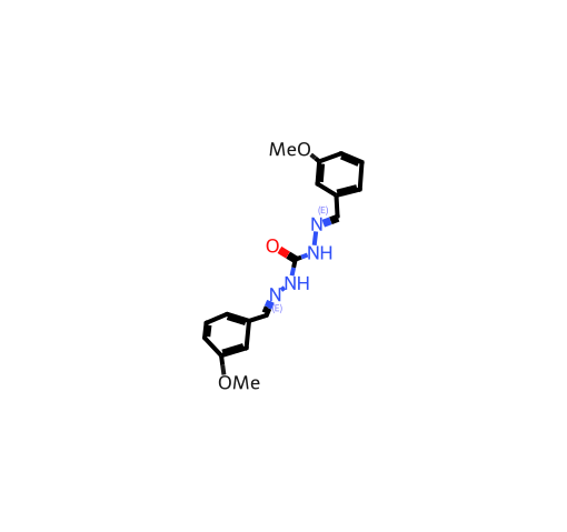 COc1cccc(/C=N/NC(=O)N/N=C/c2cccc(OC)c2)c1